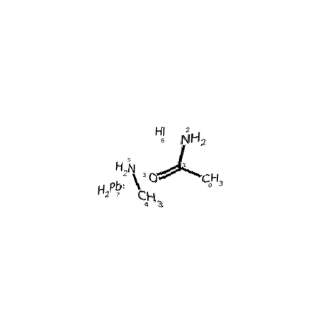 CC(N)=O.CN.I.[PbH2]